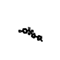 Cc1ncc(-c2ccc(S(=O)(=O)Nc3ccc(Cl)cc3)s2)o1